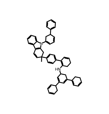 CC1(c2ccc(C3=C(NC4C=C(C5C=CC=CC5)C=C(C5=CC=CCC5)C4)CCC=C3)cc2)C=Cc2c(n(C3=CC=CC(c4ccccc4)C3)c3ccccc23)C1